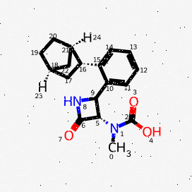 CN(C(=O)O)[C@@H]1C(=O)NC1c1ccccc1[C@@H]1C[C@H]2CC[C@@H]1C2